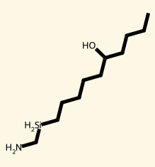 CCCCC(O)CCCCC[SiH2]CN